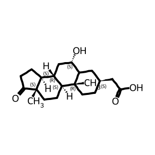 C[C@]12CC[C@H](CC(=O)O)CC1[C@@H](O)C[C@@H]1[C@@H]2CC[C@]2(C)C(=O)CC[C@@H]12